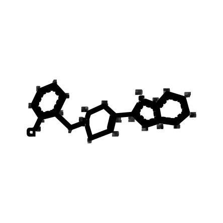 Clc1ccccc1CN1CC=C(c2cc3ccccc3s2)CC1